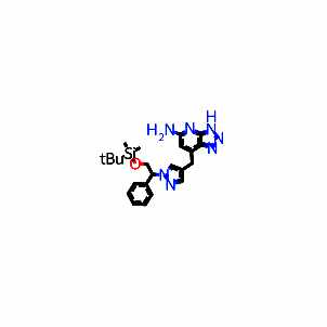 CC(C)(C)[Si](C)(C)OCC(c1ccccc1)n1cc(Cc2cc(N)nc3[nH]nnc23)cn1